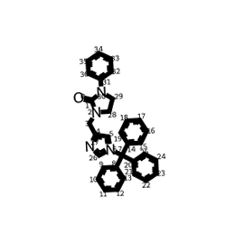 O=C1N(Cc2cn(C(c3ccccc3)(c3ccccc3)c3ccccc3)cn2)CCN1c1ccccc1